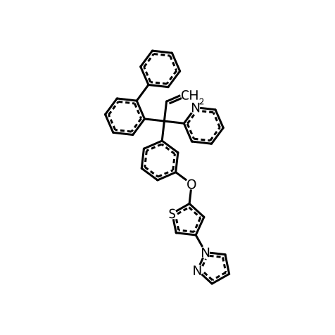 C=CC(c1cccc(Oc2cc(-n3cccn3)cs2)c1)(c1ccccn1)c1ccccc1-c1ccccc1